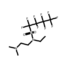 CCN(CCN(C)C)S(=O)(=O)C(F)(F)C(F)(F)C(F)(F)C(F)(F)F